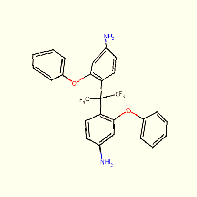 Nc1ccc(C(c2ccc(N)cc2Oc2ccccc2)(C(F)(F)F)C(F)(F)F)c(Oc2ccccc2)c1